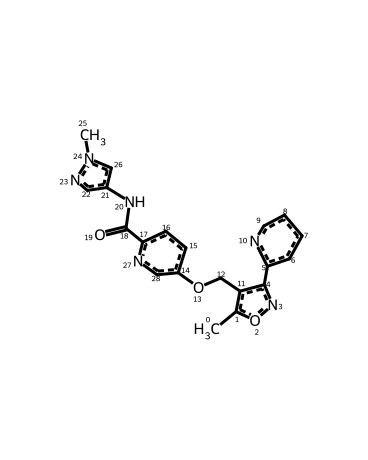 Cc1onc(-c2ccccn2)c1COc1ccc(C(=O)Nc2cnn(C)c2)nc1